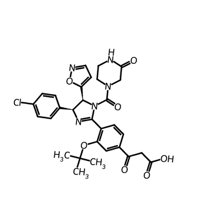 CC(C)(C)Oc1cc(C(=O)CC(=O)O)ccc1C1=N[C@@H](c2ccc(Cl)cc2)[C@@H](c2ccno2)N1C(=O)N1CCNC(=O)C1